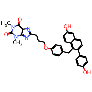 CN1C(=O)C2N=C(CCCOc3ccc(Cc4c(-c5ccc(O)cc5)ccc5cc(O)ccc45)cc3)N=C2N(C)C1=O